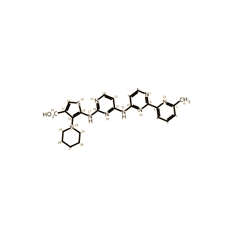 Cc1cccc(-c2nccc(Nc3ccnc(Nc4scc(C(=O)O)c4N4CCCCC4)n3)n2)n1